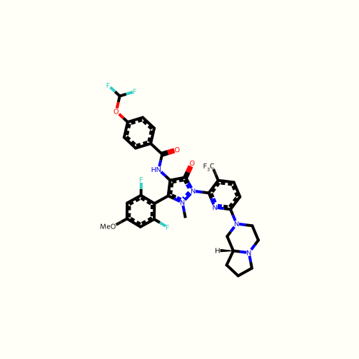 COc1cc(F)c(-c2c(NC(=O)c3ccc(OC(F)F)cc3)c(=O)n(-c3nc(N4CCN5CCC[C@@H]5C4)ccc3C(F)(F)F)n2C)c(F)c1